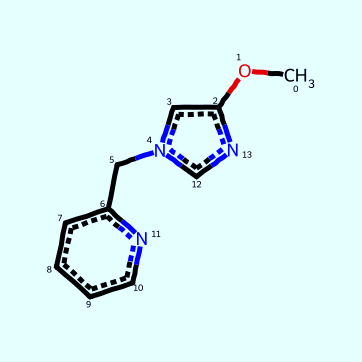 COc1cn(Cc2ccccn2)cn1